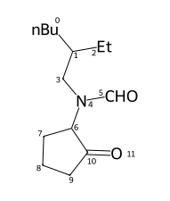 CCCCC(CC)CN(C=O)C1CCCC1=O